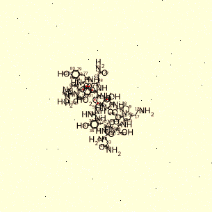 C[C@H](O)[C@@H](NC(=O)[C@H]1CCCN1C(=O)[C@@H](CCCCN)NC(=O)[C@@H](CO)NC(=O)[C@@H](Cc1ccc(O)cc1)NC(=O)[C@H](N)CC(N)=O)C(=O)N[C@H](CC(=O)O)C(=O)N[C@H](CCCNC(=N)N)C(=O)N[C@H](CCC(N)=O)C(=O)N[C@H](Cc1ccc(O)cc1)C(=O)N[C@H](Cc1c[nH]cn1)C(=O)N[C@H](Cc1ccccc1)C(=O)O